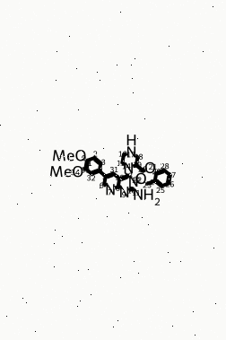 COc1ccc(-c2cnc3nc(N)nc(N4CCNCC4C(=O)OCc4ccccc4)c3c2)cc1OC